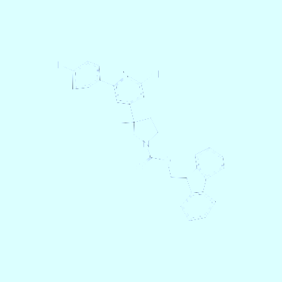 CC1(c2cc(Cl)nc(-c3ccc(F)cc3)c2)CCN(C(=O)OCC2c3ccccc3-c3ccccc32)C1